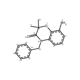 Bc1cccc2c1OC(C)(C)C(=O)N2Cc1ccccc1